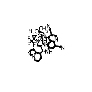 CC(C)(C)CNc1c(C#N)cnc2c(C#N)cc(N[C@H](C3=CN(C4(C(F)(F)F)CC4)NN3)c3cccn4nccc34)cc12